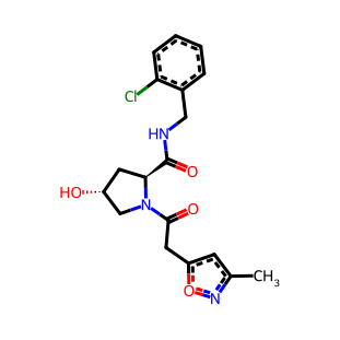 Cc1cc(CC(=O)N2C[C@H](O)C[C@H]2C(=O)NCc2ccccc2Cl)on1